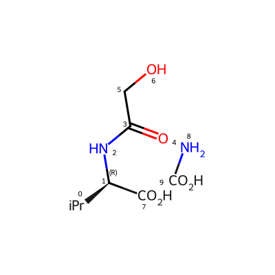 CC(C)[C@@H](NC(=O)CO)C(=O)O.NC(=O)O